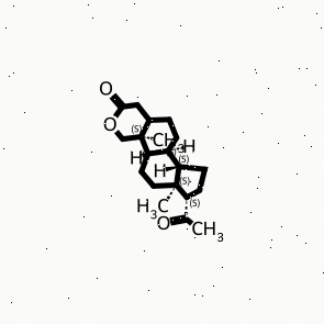 CC(=O)[C@H]1CC[C@H]2[C@@H]3CCC4CC(=O)OC[C@]4(C)[C@H]3CC[C@]12C